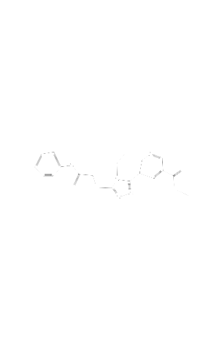 CCn1c(SCC(=O)Nc2ccccc2)nnc1C1C=C(C(=O)OC)C=NC1